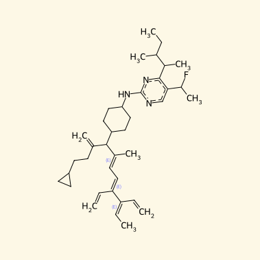 C=CC(=C\C)/C(C=C)=C/C=C(\C)C(C(=C)CCC1CC1)C1CCC(Nc2ncc(C(C)F)c(C(C)C(C)CC)n2)CC1